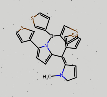 CN1CC=C/C1=C(\c1ccsc1)c1ccc(-c2ccsc2)n1B(c1ccsc1)c1ccsc1